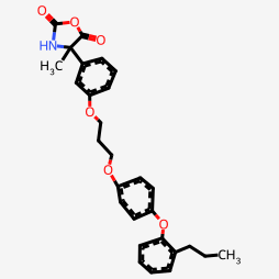 CCCc1ccccc1Oc1ccc(OCCCOc2cccc(C3(C)NC(=O)OC3=O)c2)cc1